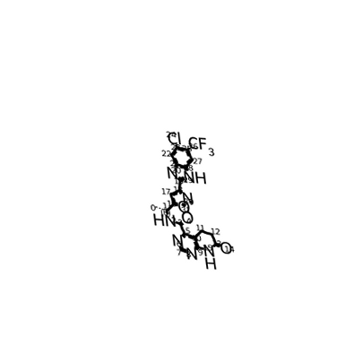 C[C@@H](NC(=O)c1ncnc2c1CCC(=O)N2)c1cc(-c2nc3cc(Cl)c(C(F)(F)F)cc3[nH]2)no1